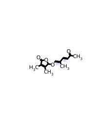 CC(=O)/C=C/C(C)=C/OC1OC(=O)C(C)=C1C